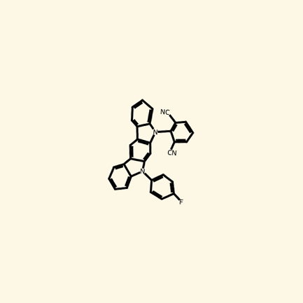 N#Cc1cccc(C#N)c1-n1c2ccccc2c2cc3c4ccccc4n(-c4ccc(F)cc4)c3cc21